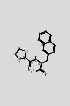 O=C(O)[C@H](Cc1ccc2ccccc2c1)NC(=O)[C@H]1NCCS1